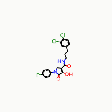 O=C(NCCCc1ccc(Cl)c(Cl)c1)C1=C(O)C(=O)N(c2ccc(F)cc2)C1